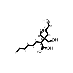 CCCCCCC(C(=O)O)C(CO)(CO)CCCO